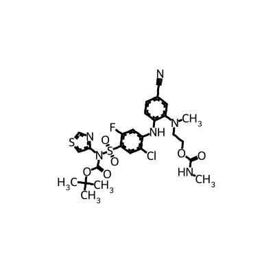 CNC(=O)OCCN(C)c1cc(C#N)ccc1Nc1cc(F)c(S(=O)(=O)N(C(=O)OC(C)(C)C)c2cscn2)cc1Cl